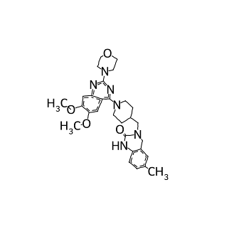 COc1cc2nc(N3CCOCC3)nc(N3CCC(CN4Cc5cc(C)ccc5NC4=O)CC3)c2cc1OC